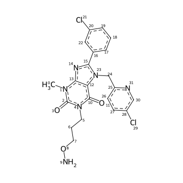 Cn1c(=O)n(CCCON)c(=O)c2c1nc(-c1cccc(Cl)c1)n2Cc1ccc(Cl)cn1